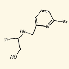 CC(C)C(CO)NCc1cccc(Br)n1